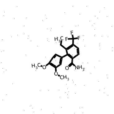 CCc1c(C(F)(F)F)ccc(C(N)=O)c1-c1ccc(OC)c(OC)c1